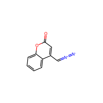 [N-]=[N+]=Cc1cc(=O)oc2ccccc12